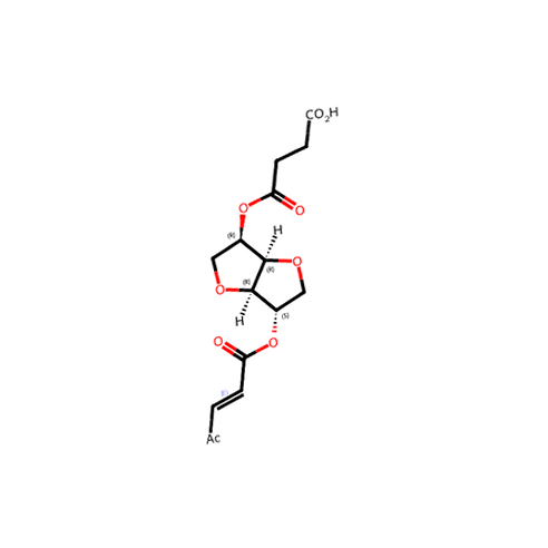 CC(=O)/C=C/C(=O)O[C@H]1CO[C@H]2[C@@H]1OC[C@H]2OC(=O)CCC(=O)O